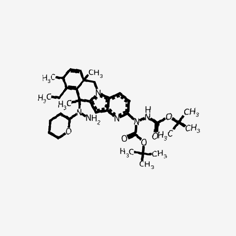 CCC1=C2C(C)(C=CC1C)Cn1c(cc3nc(N(NC(=O)OC(C)(C)C)C(=O)OC(C)(C)C)ccc31)C2(C)N(N)C1CCCCO1